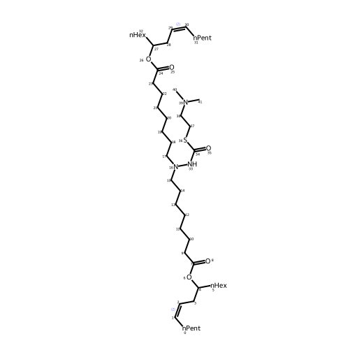 CCCCC/C=C\CC(CCCCCC)OC(=O)CCCCCCCN(CCCCCCCC(=O)OC(C/C=C\CCCCC)CCCCCC)NC(=O)SCCN(C)C